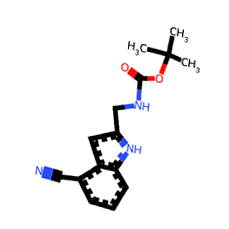 CC(C)(C)OC(=O)NCc1cc2c(C#N)cccc2[nH]1